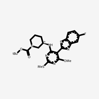 COc1nc(SC)nc(N[C@@H]2CCCN(C(=O)OC(C)(C)C)C2)c1-c1nc2cc(F)ccc2s1